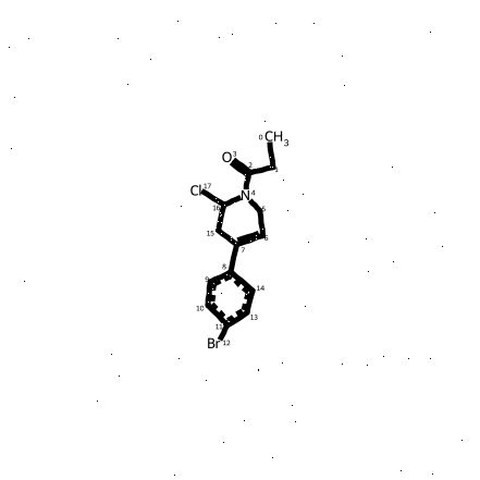 CCC(=O)N1CC=C(c2ccc(Br)cc2)CC1Cl